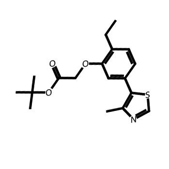 CCc1ccc(-c2scnc2C)cc1OCC(=O)OC(C)(C)C